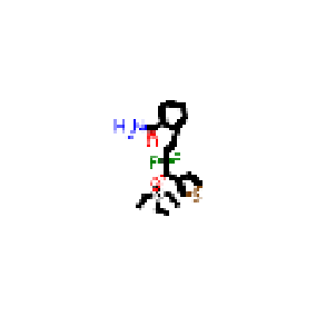 CC[Si](CC)(CC)OC(c1ccsc1)C(F)(F)C=Cc1ccccc1C(N)=O